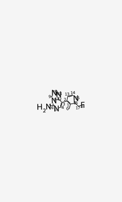 Cc1c(-c2cnc(N)n3cnnc23)ccnc1CF